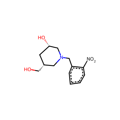 O=[N+]([O-])c1ccccc1CN1C[C@@H](O)C[C@@H](CO)C1